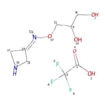 O=C(O)C(F)(F)F.OCC(O)CON=C1CNC1